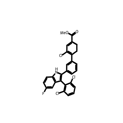 COC(=O)C1=CC(Cl)=C(c2cccc(-c3[nH]c4ccc(F)cc4c3-c3c(Cl)cccc3Cl)c2)CC1